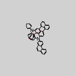 C1=CC(n2c3ccccc3c3ccc(-c4cccc5cccc(-c6ccc(N(c7ccccc7)c7ccc8c(ccc9ccccc98)c7)cc6)c45)cc32)=CCC1